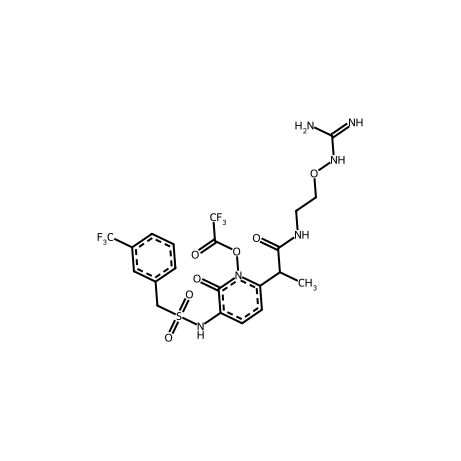 CC(C(=O)NCCONC(=N)N)c1ccc(NS(=O)(=O)Cc2cccc(C(F)(F)F)c2)c(=O)n1OC(=O)C(F)(F)F